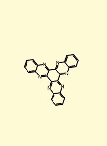 c1ccc2nc3c(nc2c1)c1nc2ccccc2nc1c1nc2ccccc2nc31